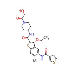 CCc1cc2sc(C(=O)NC3CCN(C(=O)CO)CC3)c(OCC(F)(F)F)c2cc1NC(=O)c1ccsc1